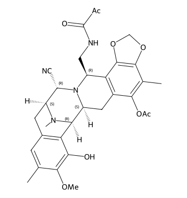 COc1c(C)cc2c(c1O)[C@@H]1[C@@H]3Cc4c(OC(C)=O)c(C)c5c(c4[C@H](CNC(=O)C(C)=O)N3[C@@H](C#N)[C@H](C2)N1C)OCO5